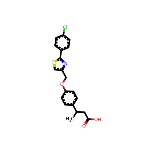 CC(CC(=O)O)c1ccc(OCc2csc(-c3ccc(Cl)cc3)n2)cc1